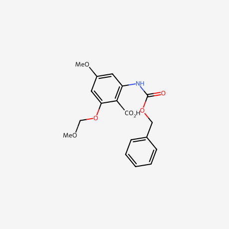 COCOc1cc(OC)cc(NC(=O)OCc2ccccc2)c1C(=O)O